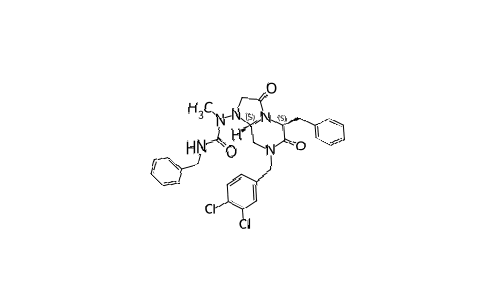 CN(C(=O)NCc1ccccc1)N1CC(=O)N2[C@@H](Cc3ccccc3)C(=O)N(Cc3ccc(Cl)c(Cl)c3)C[C@@H]21